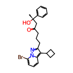 C[C@](O)(CC(=O)CCCc1nn2c(Br)cccc2c1C1CCC1)c1ccccc1